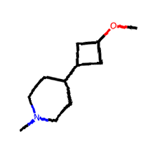 COC1CC(C2CCN(C)CC2)C1